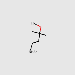 CCOC(C)(C)CCNC(C)=O